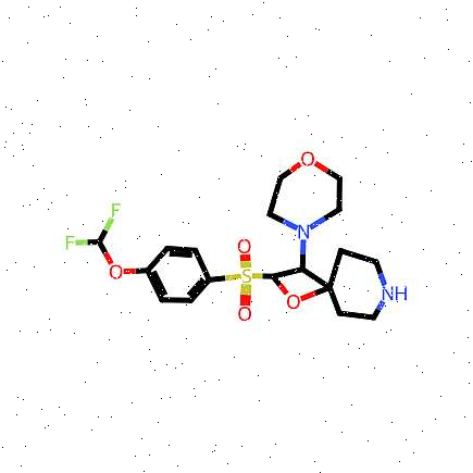 O=S(=O)(c1ccc(OC(F)F)cc1)C1OC2(CCNCC2)C1N1CCOCC1